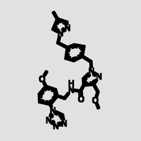 COCc1nn(Cc2ccc(Cn3cc(C)cn3)cc2)cc1C(=O)NCc1cc(OC)ccc1-n1cnnn1